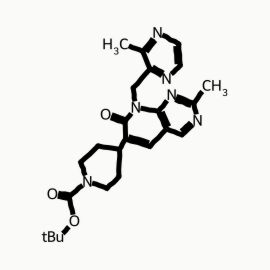 Cc1ncc2cc(C3CCN(C(=O)OC(C)(C)C)CC3)c(=O)n(Cc3nccnc3C)c2n1